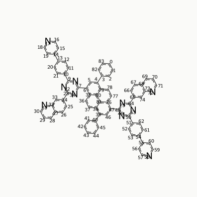 c1ccc(-c2cc(-c3nc(-c4ccc(-c5ccncc5)cc4)nc(-c4ccc5cccnc5c4)n3)c3ccc4c(-c5ccccc5)cc(-c5nc(-c6ccc(-c7ccncc7)cc6)nc(-c6ccc7cccnc7c6)n5)c5ccc2c3c45)cc1